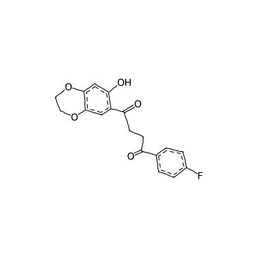 O=C(CCC(=O)c1cc2c(cc1O)OCCO2)c1ccc(F)cc1